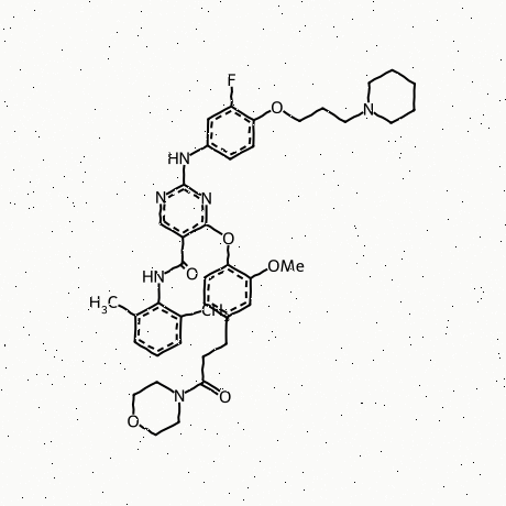 COc1cc(CCC(=O)N2CCOCC2)ccc1Oc1nc(Nc2ccc(OCCCN3CCCCC3)c(F)c2)ncc1C(=O)Nc1c(C)cccc1C